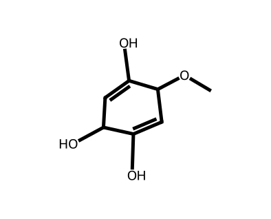 COC1C=C(O)C(O)C=C1O